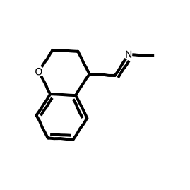 C/N=C/C1CCOc2ccccc21